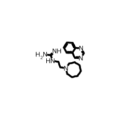 N=C(N)NCCN1CCCCCCC1.c1ccc2ncncc2c1